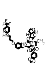 CC(C)CN(C[C@@H](O)[C@H](Cc1ccc(OCCCNc2ccc(C(F)(F)F)cn2)cc1)NC(=O)O[C@H]1CO[C@H]2OCC[C@H]21)S(=O)(=O)c1ccc2c(c1)OCO2